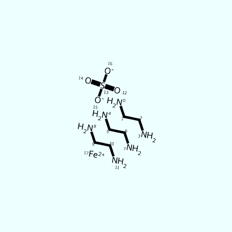 NCCN.NCCN.NCCN.O=S(=O)([O-])[O-].[Fe+2]